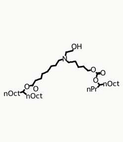 CCCCCCCCC(CCCCCCCC)OC(=O)CCCCCCCN(CCO)CCCCCOC(=O)OC(CCC)CCCCCCCC